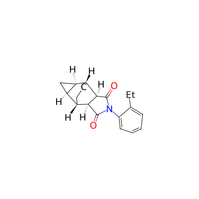 CCc1ccccc1N1C(=O)[C@@H]2[C@@H]3CC[C@@H]([C@H]4C[C@H]43)[C@@H]2C1=O